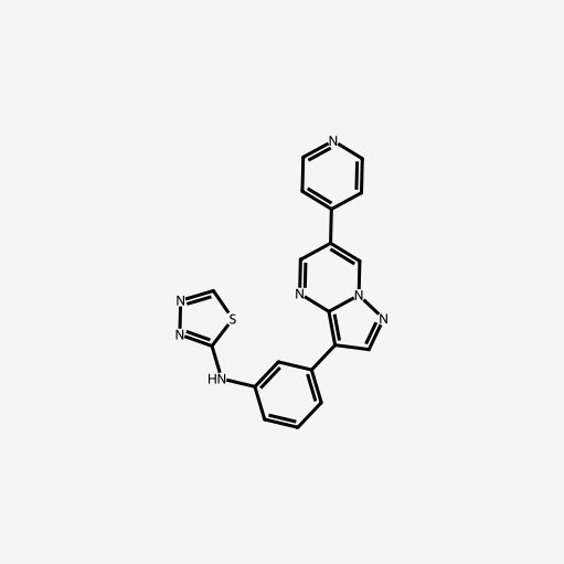 c1cc(Nc2nncs2)cc(-c2cnn3cc(-c4ccncc4)cnc23)c1